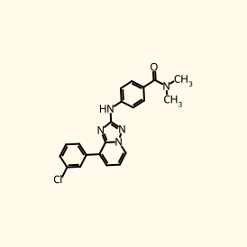 CN(C)C(=O)c1ccc(Nc2nc3c(-c4cccc(Cl)c4)cccn3n2)cc1